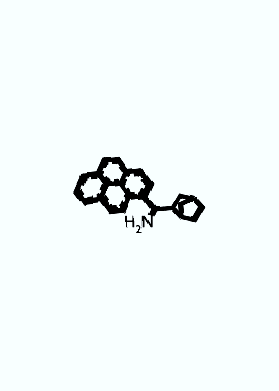 NC(c1ccc2ccc3cccc4ccc1c2c34)C1CC2C=CC1C2